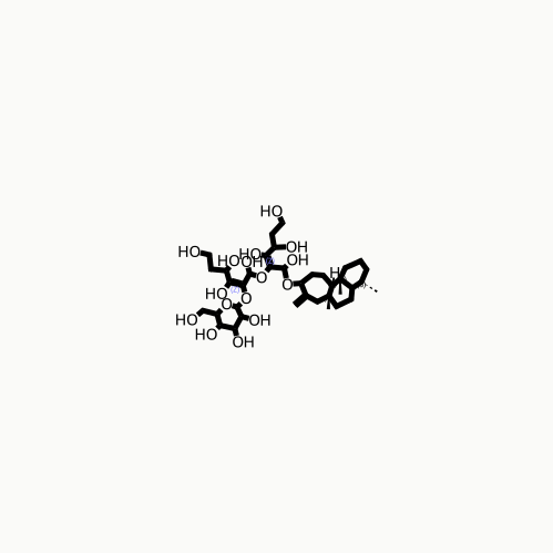 C=C1C[C@@]2(C)CCC3[C@@H](C)CCC[C@@]3(C)[C@@H]2CCC1OC(O)/C(OC(O)/C(OC1OC(CO)C(O)C(O)C1O)=C(/O)C(O)CCO)=C(/O)C(O)CCO